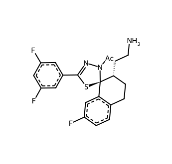 CC(=O)N1N=C(c2cc(F)cc(F)c2)S[C@@]12c1cc(F)ccc1CC[C@H]2CCN